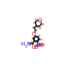 NC(=O)c1cc(OCCC2CCOCC2)ccc1[N+](=O)[O-]